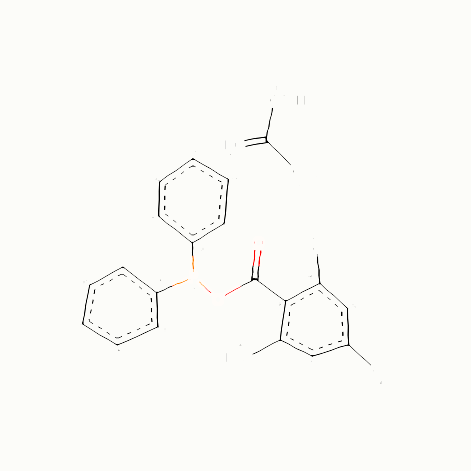 C=C(C)C(=O)O.Cc1cc(C)c(C(=O)OP(c2ccccc2)c2ccccc2)c(C)c1